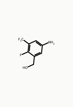 Nc1cc(CO)c(F)c(C(F)(F)F)c1